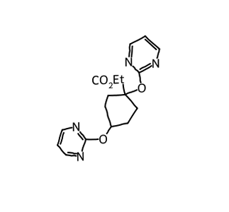 CCOC(=O)C1(Oc2ncccn2)CCC(Oc2ncccn2)CC1